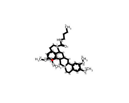 CCCCNC(=O)N1CCc2cc(OC)c(OC)cc2C1CC1CC2c3cc(OC)c(OC)cc3CCN2CC1CC